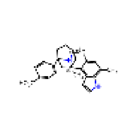 COc1cc(C)c2[nH]ccc2c1CN1[C@H]2CCC1(c1ccc(C(=O)O)cc1)C[C@@H](C)C2